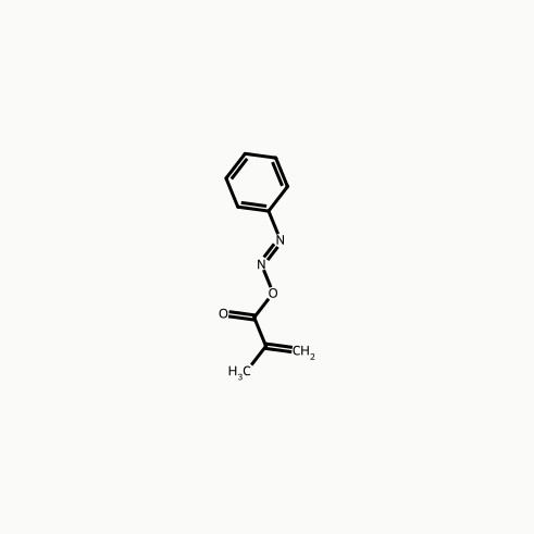 C=C(C)C(=O)O/N=N/c1ccccc1